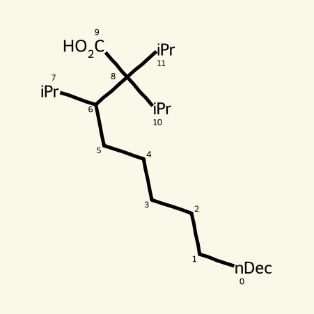 CCCCCCCCCCCCCCCC(C(C)C)C(C(=O)O)(C(C)C)C(C)C